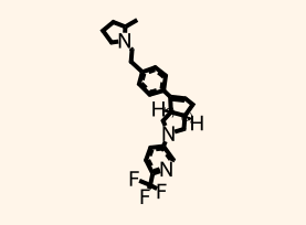 CC1CCCN1CCc1ccc(C2=CC[C@@H]3CN(c4ccc(C(F)(F)F)nc4)C[C@H]23)cc1